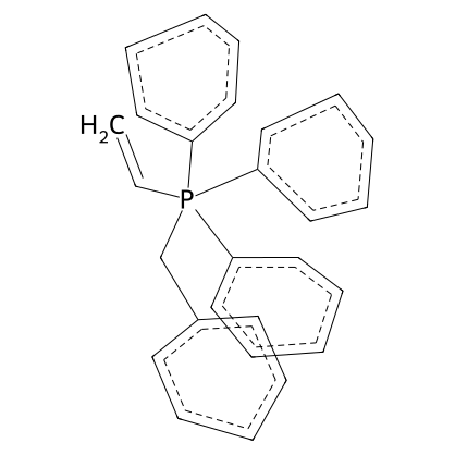 C=CP(Cc1ccccc1)(c1ccccc1)(c1ccccc1)c1ccccc1